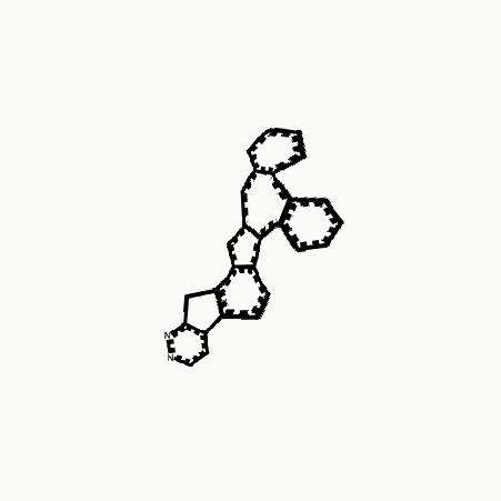 c1ccc2c(c1)cc1cc3c4c(ccc3c-1c1ccccc12)-c1ccnnc1C4